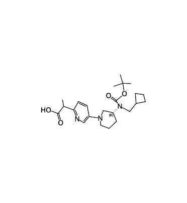 CC(C(=O)O)c1ccc(N2CCC[C@@H](N(CC3CCC3)C(=O)OC(C)(C)C)C2)cn1